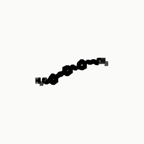 CCCCC[C@H]1CC[C@H](CCc2ccc(C#Cc3ccc(CC)cc3)cc2)CC1